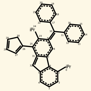 CC(C)c1cccc2c1-c1cc(=C(c3ccccc3)c3ccccc3)c(C(C)C)c(C3=CC=CC3)c1=[C]2